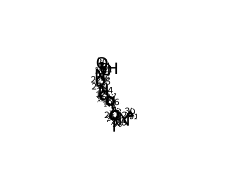 CN(c1cc(-c2ccc3c(c2)C=CN(C2CCN(C[SH](=O)=O)CC2)C3)ccc1F)C1CC1